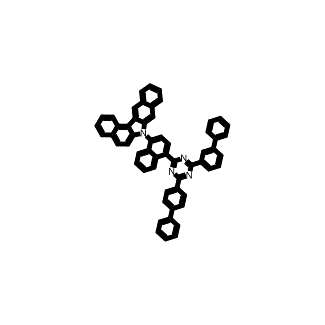 c1ccc(-c2ccc(-c3nc(-c4cccc(-c5ccccc5)c4)nc(-c4ccc(-n5c6cc7ccccc7cc6c6c7ccccc7ccc65)c5ccccc45)n3)cc2)cc1